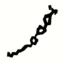 FCCCC/C=C/C[C@H]1CC[C@H](C2CCC(c3ccc(C(F)F)cc3)CC2)CC1